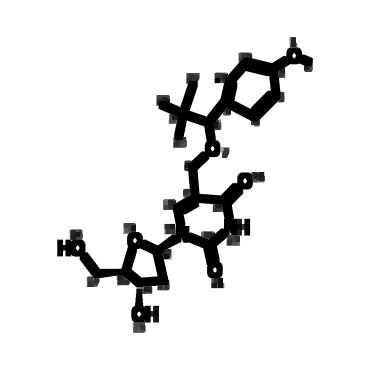 COc1ccc(C(OCc2cn([C@H]3C[C@H](O)[C@@H](CO)O3)c(=O)[nH]c2=O)C(C)(C)C)cc1